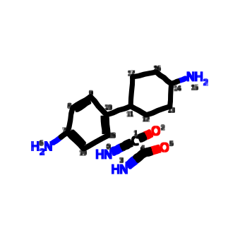 N=C=O.N=C=O.Nc1ccc(C2CCC(N)CC2)cc1